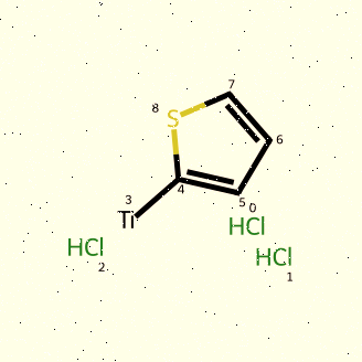 Cl.Cl.Cl.[Ti][c]1cccs1